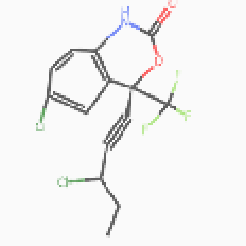 CCC(Cl)C#C[C@]1(C(F)(F)F)OC(=O)Nc2ccc(Cl)cc21